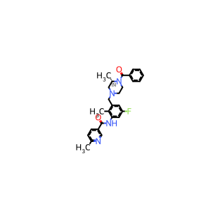 Cc1ccc(C(=O)Nc2cc(F)cc(CN3CCN(C(=O)c4ccccc4)[C@@H](C)C3)c2C)cn1